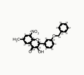 Cc1cc([N+](=O)[O-])c2oc(-c3cccc(OCc4ccccc4)c3)c(O)c(=O)c2c1